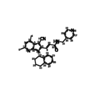 Cc1cc(C)c2c(C#N)c(/C=C/C(=O)NCc3ccncc3)n([C@H]3CCCc4ccccc43)c2n1